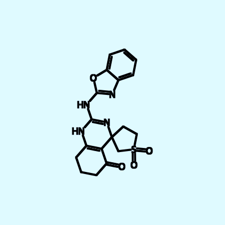 O=C1CCCC2=C1C1(CCS(=O)(=O)C1)N=C(Nc1nc3ccccc3o1)N2